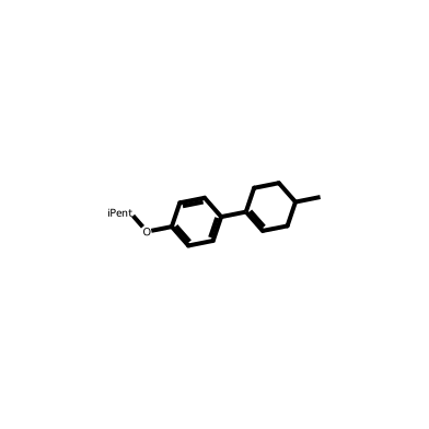 CCCC(C)Oc1ccc(C2=CCC(C)CC2)cc1